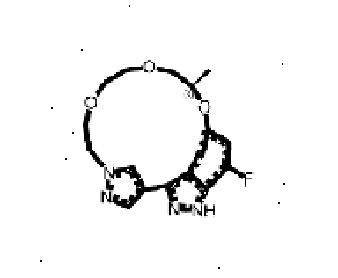 C[C@@H]1COCCOCCn2cc(cn2)-c2n[nH]c3c(F)cc(cc23)O1